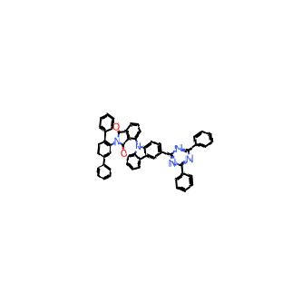 O=C1c2cccc(-n3c4ccccc4c4cc(-c5nc(-c6ccccc6)nc(-c6ccccc6)n5)ccc43)c2C(=O)N1c1cc(-c2ccccc2)ccc1-c1ccccc1